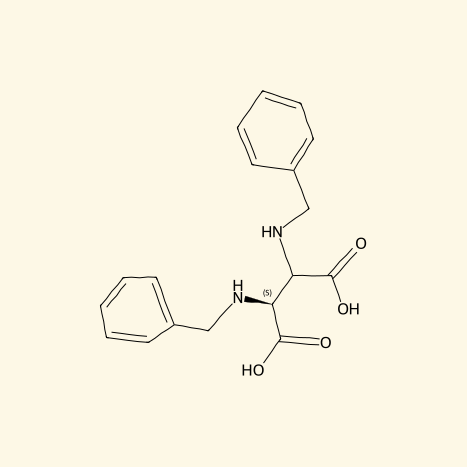 O=C(O)C(NCc1ccccc1)[C@H](NCc1ccccc1)C(=O)O